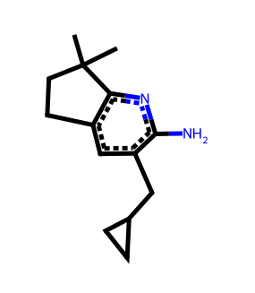 CC1(C)CCc2cc(CC3CC3)c(N)nc21